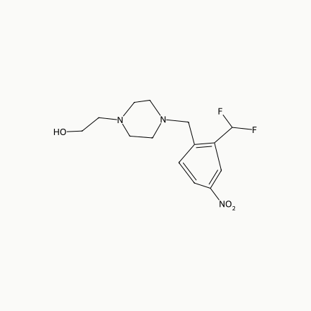 O=[N+]([O-])c1ccc(CN2CCN(CCO)CC2)c(C(F)F)c1